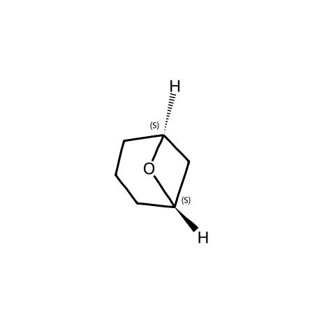 C1C[C@H]2C[C@H](C1)O2